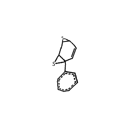 C1=CC2(c3ccccc3)SC2C2SC12